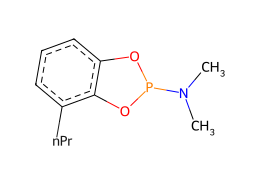 CCCc1cccc2c1OP(N(C)C)O2